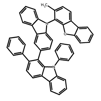 Cc1ccc2c(oc3ccccc32)c1-n1c2ccccc2c2cc(-c3c(-c4ccccc4)ccc4c5ccccc5n(-c5ccccc5)c34)ccc21